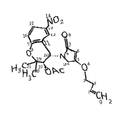 C=CCCOC1=CC(=O)N([C@H]2c3cc([N+](=O)[O-])ccc3OC(C)(C)[C@@H]2OC(C)=O)C1